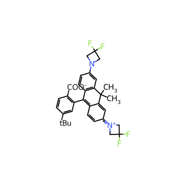 CC(C)(C)c1ccc(C(=O)[O-])c(C2=C3C=CC(=[N+]4CC(F)(F)C4)C=C3C(C)(C)c3cc(N4CC(F)(F)C4)ccc32)c1